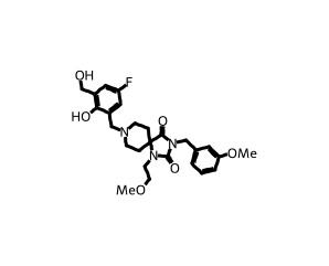 COCCN1C(=O)N(Cc2cccc(OC)c2)C(=O)C12CCN(Cc1cc(F)cc(CO)c1O)CC2